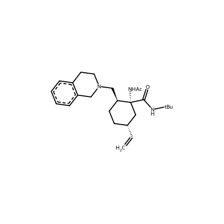 C=C[C@@H]1CC[C@@H](CN2CCc3ccccc3C2)[C@@](NC(C)=O)(C(=O)NC(C)(C)C)C1